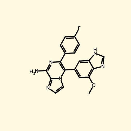 COc1cc(-c2c(-c3ccc(F)cc3)nc(N)c3nccn23)cc2[nH]cnc12